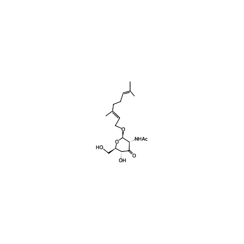 CC(=O)N[C@@H]1C(=O)[C@H](O)[C@@H](CO)O[C@H]1OC/C=C(\C)CCC=C(C)C